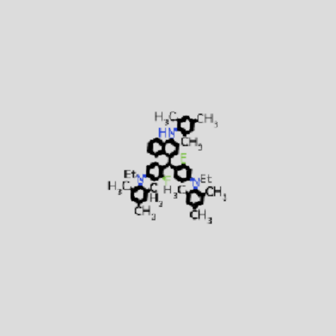 CCN(c1ccc(C(c2ccc(N(CC)c3c(C)cc(C)cc3C)cc2F)c2ccc(Nc3c(C)cc(C)cc3C)c3ccccc23)c(F)c1)c1c(C)cc(C)cc1C